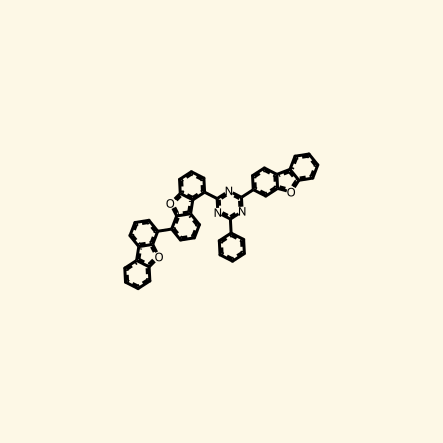 c1ccc(-c2nc(-c3ccc4c(c3)oc3ccccc34)nc(-c3cccc4oc5c(-c6cccc7c6oc6ccccc67)cccc5c34)n2)cc1